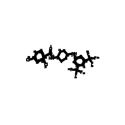 O=C(NC1CCC(Nc2cc(C(F)(F)F)nc(C(F)(F)F)c2)CC1)c1ccc(Cl)cc1Cl